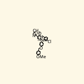 C=C1CN=C(c2cnc(Nc3ccc(OCc4ccc(OC)cc4)cc3)n(Cc3ccc(Cl)cc3)c2=O)O1